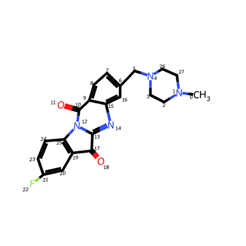 CN1CCN(Cc2ccc3c(=O)n4c(nc3c2)C(=O)c2cc(F)ccc2-4)CC1